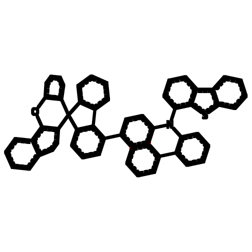 c1ccc(-c2ccccc2N(c2ccc(-c3cccc4c3-c3ccccc3C43c4ccccc4Oc4c3ccc3ccccc43)cc2)c2cccc3c2sc2ccccc23)cc1